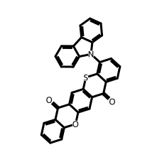 O=c1c2ccccc2oc2cc3c(=O)c4cccc(-n5c6ccccc6c6ccccc65)c4sc3cc12